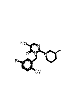 C[C@H]1CCCN(c2ncc(O)c(=O)n2Cc2cc(F)ccc2C#N)C1